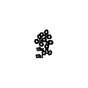 CC(C)(C)c1cc(C(C)(C)C)c2c(c1)c1ccccc1n2-c1ccc2c(c1)c1ccccc1n2-c1cc([Si](c2ccccc2)(c2ccccc2)c2ccccc2)cc([Si](c2ccccc2)(c2ccccc2)c2ccccc2)c1